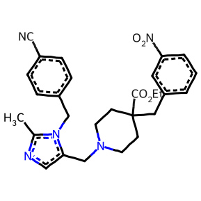 CCOC(=O)C1(Cc2cccc([N+](=O)[O-])c2)CCN(Cc2cnc(C)n2Cc2ccc(C#N)cc2)CC1